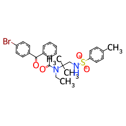 CCN(C(=O)c1ccccc1C(=O)c1ccc(Br)cc1)C(C)(C)CNS(=O)(=O)c1ccc(C)cc1